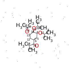 CC(C)OC1C=C(C(=O)C(C)C)CC(OC(C)C)C1OC(C)C